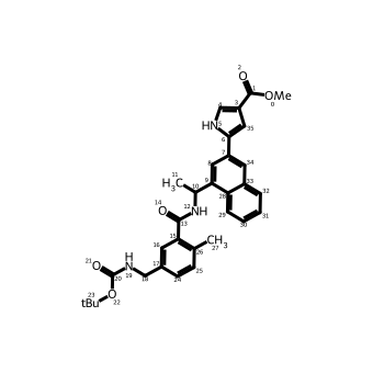 COC(=O)c1c[nH]c(-c2cc(C(C)NC(=O)c3cc(CNC(=O)OC(C)(C)C)ccc3C)c3ccccc3c2)c1